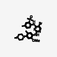 COc1cc(N2CCN(C)CC2)c(C)cc1Nc1ncc(Br)c(Nc2ccc(C)cc2P(C)(C)=O)n1